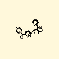 Cc1onc(-c2ccccn2)c1COc1ccc(C(=O)N2CCSCC2)nn1